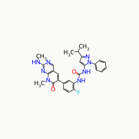 CNc1ncc2cc(-c3ccc(F)c(NC(=O)Nc4cc(C(C)C)nn4-c4ccccc4)c3)c(=O)n(C)c2n1